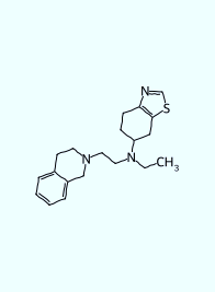 CCN(CCN1CCc2ccccc2C1)C1CCc2ncsc2C1